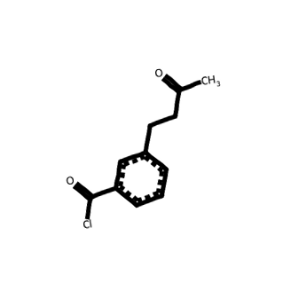 CC(=O)CCc1cccc(C(=O)Cl)c1